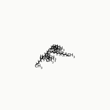 CCCCCCCCCCC(CN(CCCS)CC(CCCCCCCCCC)O[Si](C)(C)C(C)(C)C)O[Si](C)(C)C(C)(C)C